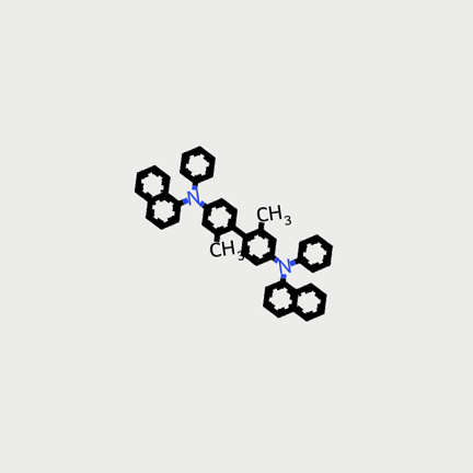 Cc1cc(N(c2ccccc2)c2cccc3ccccc23)ccc1-c1ccc(N(c2ccccc2)c2cccc3ccccc23)cc1C